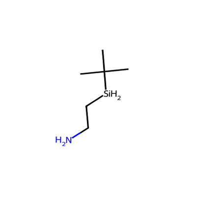 CC(C)(C)[SiH2]CCN